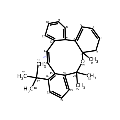 CC12CC=CC=C1c1ccccc1/C=C\c1c(C(C)(C)C)cccc1C(C)(C)O2